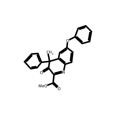 COC(=O)C1=Nc2ccc(Oc3ccccc3)cc2C(C)(c2ccccc2)C1=O